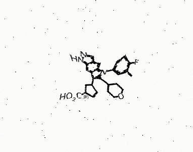 Cc1cc(-n2c(C3CCOCC3)c(C3CC[C@@H](C(=O)O)C3)c3cc4[nH]ncc4cc32)ccc1F